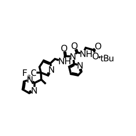 CC(c1ncccn1)C1(C(F)(F)F)C=NC(CNC(=O)N(C(=O)NCC(=O)OC(C)(C)C)c2ccccn2)=CC1